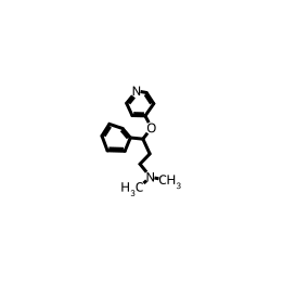 CN(C)CCC(Oc1ccncc1)c1ccccc1